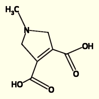 CN1CC(C(=O)O)=C(C(=O)O)C1